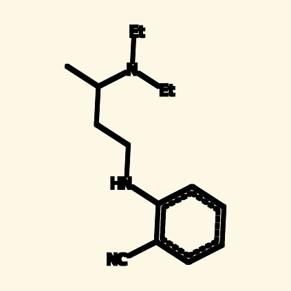 CCN(CC)C(C)CCNc1ccccc1C#N